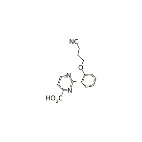 N#CCCCOc1ccccc1-c1nccc(C(=O)O)n1